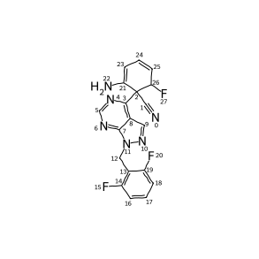 N#CC1(c2ncnc3c2cnn3Cc2c(F)cccc2F)C(N)=CC=CC1F